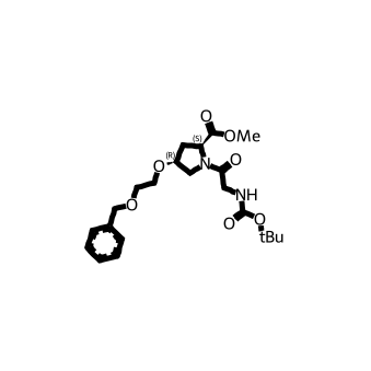 COC(=O)[C@@H]1C[C@@H](OCCOCc2ccccc2)CN1C(=O)CNC(=O)OC(C)(C)C